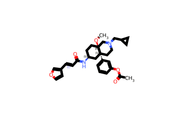 CO[C@]12CC[C@H](NC(=O)/C=C/c3ccoc3)C[C@]1(c1cccc(OC(C)=O)c1)CCN(CC1CC1)C2